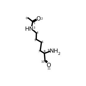 CC(=O)NCCCCC(N)C=O